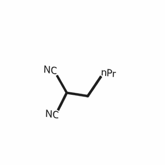 [CH2]CCCC(C#N)C#N